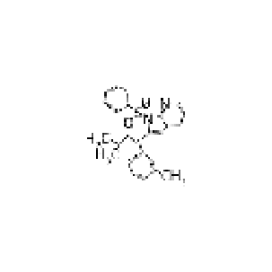 Cc1cccc(C(=CC(C)C)c2cc3cccnc3n2S(=O)(=O)c2ccccc2)c1